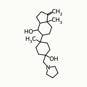 C=C1CCC2C(O)C(C3(C)CCC(O)(CN4CCCC4)CC3)CCC12C